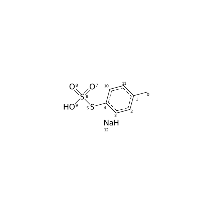 Cc1ccc(SS(=O)(=O)O)cc1.[NaH]